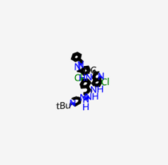 CC(C)(C)N1CCC(N2C=C([C@@H](Nc3cc(Cl)c4ncc(C#N)c(Nc5ccc6c(cnn6Cc6ccccc6)c5)c4c3)c3ccc(Cl)cc3)NN2)CC1